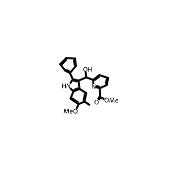 COC(=O)c1cccc(C(O)c2c(-c3ccccc3)[nH]c3cc(OC)c(C)cc23)n1